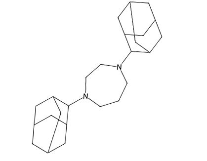 C1CN(C2C3CC4CC(C3)CC2C4)CCN(C2C3CC4CC(C3)CC2C4)C1